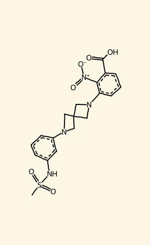 CS(=O)(=O)Nc1cccc(N2CC3(C2)CN(c2cccc(C(=O)O)c2[N+](=O)[O-])C3)c1